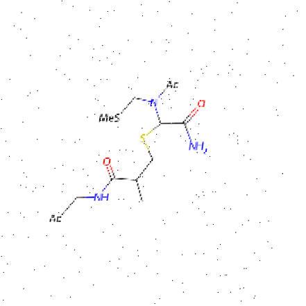 CSCN(C(C)=O)C(SCC(C)C(=O)NCC(C)=O)C(N)=O